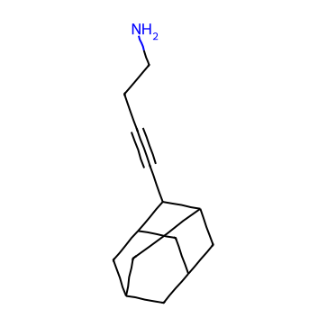 NCCC#CC1C2CC3CC(C2)CC1C3